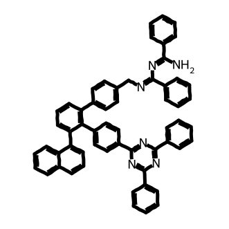 N/C(=N\C(=N/Cc1ccc(-c2cccc(-c3cccc4ccccc34)c2-c2ccc(-c3nc(-c4ccccc4)nc(-c4ccccc4)n3)cc2)cc1)c1ccccc1)c1ccccc1